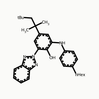 CCCCCCc1ccc(Nc2cc(C(C)(C)CC(C)(C)C)cc(-n3nc4ccccc4n3)c2O)cc1